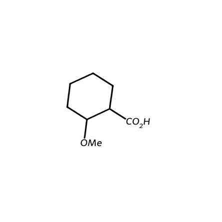 COC1CCCCC1C(=O)O